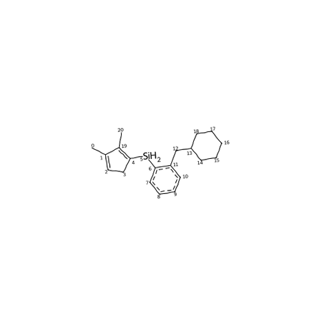 CC1=CCC([SiH2]c2ccccc2CC2CCCCC2)=C1C